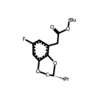 CC(C)[C@@H]1COc2cc(F)cc(CC(=O)OC(C)(C)C)c2O1